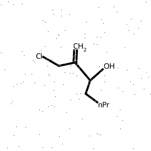 C=C(CCl)C(O)CCCC